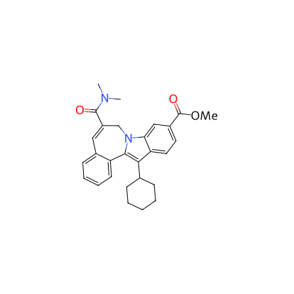 COC(=O)c1ccc2c(C3CCCCC3)c3n(c2c1)CC(C(=O)N(C)C)=Cc1ccccc1-3